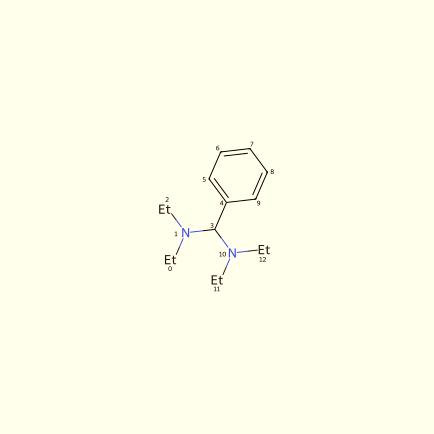 CCN(CC)C(c1ccccc1)N(CC)CC